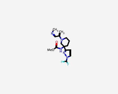 C=C(/C=N\C)N1CCCC(NC(=O)OC)(c2ccn(C(F)F)n2)C1